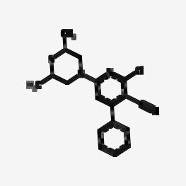 CC1CN(c2cc(-c3ccccc3)c(C#N)c(Cl)n2)CC(C)S1